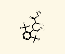 CCC(CC(N)C(=O)OC)c1c(C(F)(F)F)cccc1C(F)(F)F